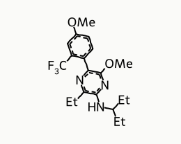 CCc1nc(-c2ccc(OC)cc2C(F)(F)F)c(OC)nc1NC(CC)CC